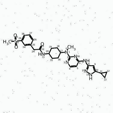 CN(c1nccc(Nc2cc(C3CC3)[nH]n2)n1)C1CCC(NC(=O)Cc2cccc(S(C)(=O)=O)c2)CC1